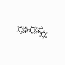 O=C1OC2(CCN(c3nc4ccccc4[nH]3)CC2)CN1c1ccccc1